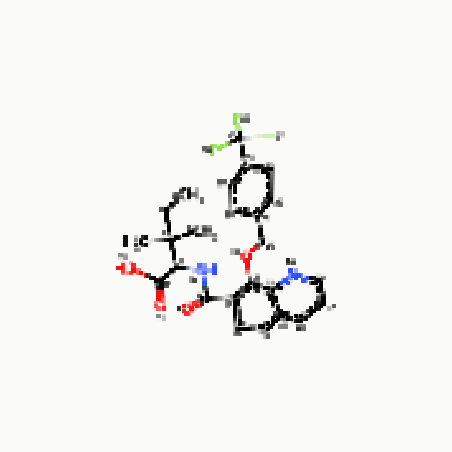 CCC(C)(C)C(NC(=O)c1ccc2cccnc2c1OCc1ccc(C(F)(F)F)cc1)C(=O)O